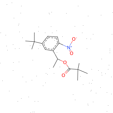 CC(OC(=O)C(C)(C)C)c1cc(C(C)(C)C)ccc1[N+](=O)[O-]